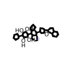 C=Cc1c(/C=C\C)c(-c2ccc3c(c2)oc2c4ccccc4ccc32)c2ccccc2c1-c1c(O)c(O)c(-c2ccccc2)c(O)c1O